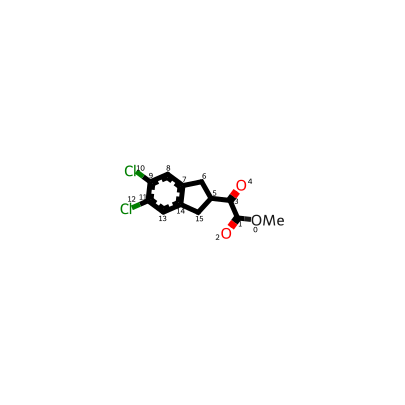 COC(=O)C(=O)C1Cc2cc(Cl)c(Cl)cc2C1